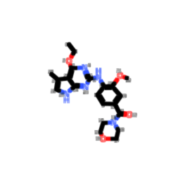 CCOc1nc(Nc2ccc(C(=O)N3CCOCC3)cc2OC)nc2[nH]cc(C)c12